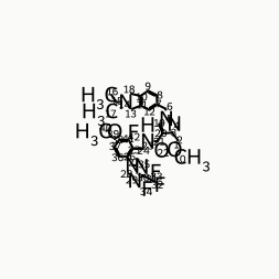 COCc1nn(Cc2ccc3c(c2)CN(C(C)C)C3)cc1C(=O)NCc1c(-n2cnc(C(F)(F)F)n2)ccc(OC)c1F